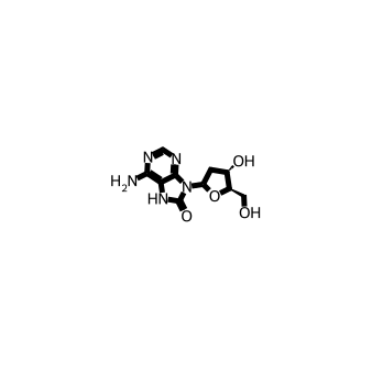 Nc1ncnc2c1[nH]c(=O)n2C1C[C@H](O)[C@@H](CO)O1